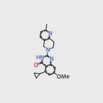 COc1cc(C2CC2)c2c(=O)[nH]c(N3CCc4nc(C)ccc4C3)nc2c1